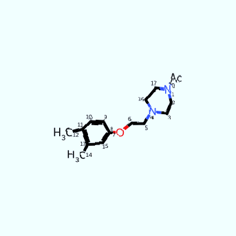 CC(=O)N1CCN(CCOc2ccc(C)c(C)c2)CC1